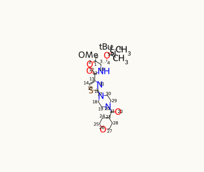 COC(=O)[C@H](CO[Si](C)(C)C(C)(C)C)NC(=O)c1csc(N2CCN(C(=O)C3CCOCC3)CC2)n1